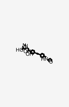 OC[C@@H](Cc1nncc(O)c1O)c1ccc(C#Cc2ccc(CN[C@H]3CCOC3)cc2)cc1